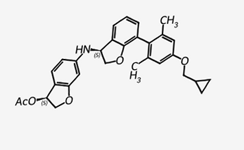 CC(=O)O[C@@H]1COc2cc(N[C@@H]3COc4c(-c5c(C)cc(OCC6CC6)cc5C)cccc43)ccc21